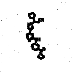 N#CCC(C1CCCC1)n1cc(-c2ccnc(Nc3cccc(C(=O)N4CCC4)c3)n2)cn1